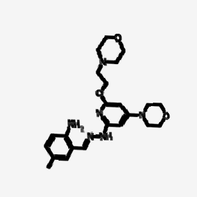 Cc1ccc(N)c(/C=N/Nc2cc(N3CCOCC3)cc(OCCN3CCOCC3)n2)c1